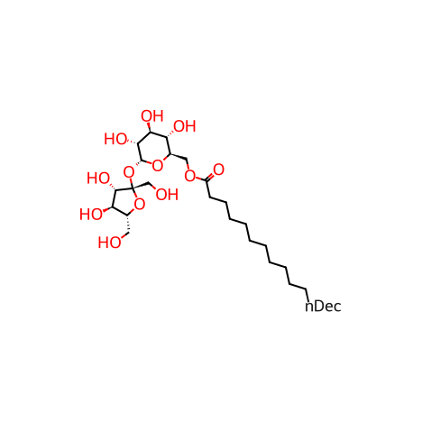 CCCCCCCCCCCCCCCCCCCCC(=O)OC[C@H]1O[C@H](O[C@]2(CO)O[C@H](CO)[C@@H](O)[C@@H]2O)[C@H](O)[C@@H](O)[C@@H]1O